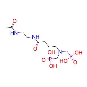 CC(=O)NCCNC(=O)CCCN(CP(=O)(O)O)CP(=O)(O)O